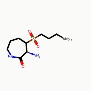 CCCCCCCCCCCCS(=O)(=O)C1CCCNC(=O)[C@@H]1N